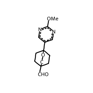 COc1ncc(C23CCC(C=O)(CC2)CO3)cn1